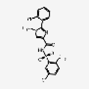 Cc1ccc(Cl)cc1S(=O)(=O)NC(=O)c1cn(C)c(-c2ccccc2Cl)n1